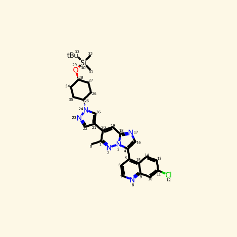 Cc1nn2c(-c3ccnc4cc(Cl)ccc34)cnc2cc1-c1cnn([C@H]2CC[C@H](O[Si](C)(C)C(C)(C)C)CC2)c1